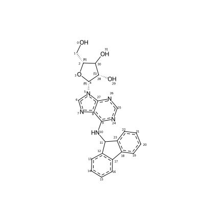 OC[C@H]1O[C@@H](n2cnc3c(NC4c5ccccc5-c5ccccc54)ncnc32)[C@@H](O)C1O